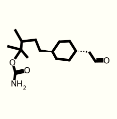 CC(CC[C@H]1CC[C@H](CC=O)CC1)C(C)(C)OC(N)=O